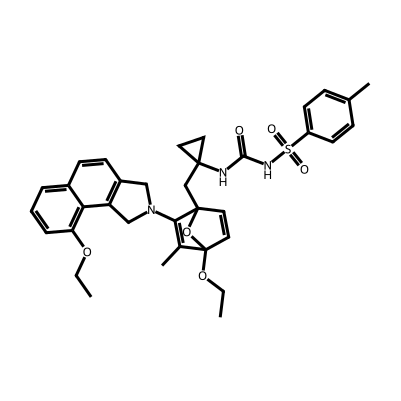 CCOc1cccc2ccc3c(c12)CN(C1=C(C)C2(OCC)C=CC1(CC1(NC(=O)NS(=O)(=O)c4ccc(C)cc4)CC1)O2)C3